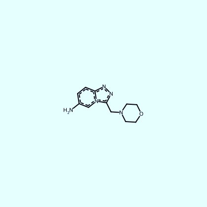 Nc1ccc2nnc(CN3CCOCC3)n2c1